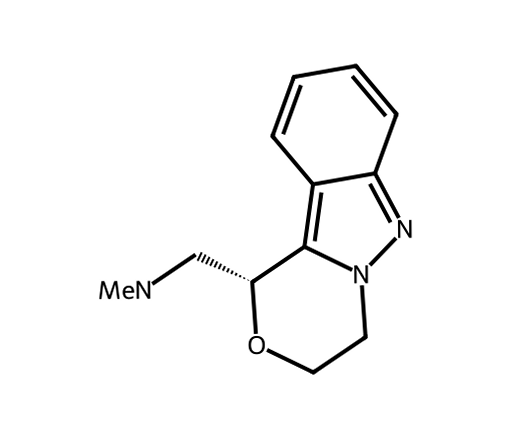 CNC[C@H]1OCCn2nc3ccccc3c21